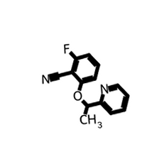 CC(Oc1cccc(F)c1C#N)c1ccccn1